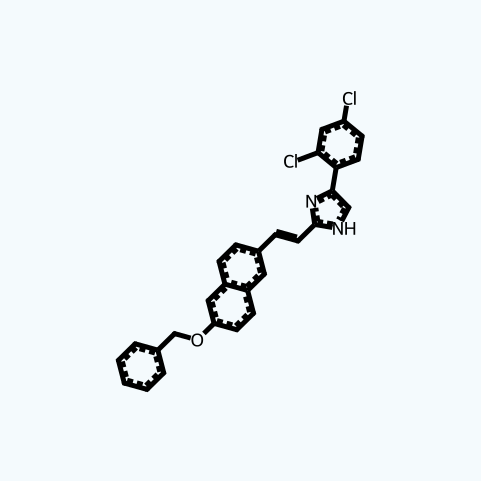 Clc1ccc(-c2c[nH]c(C=Cc3ccc4cc(OCc5ccccc5)ccc4c3)n2)c(Cl)c1